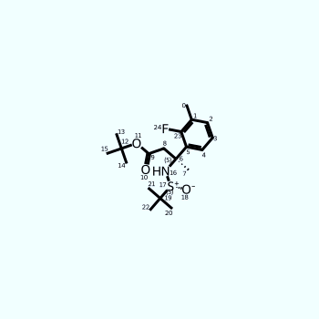 Cc1cccc([C@](C)(CC(=O)OC(C)(C)C)N[S@+]([O-])C(C)(C)C)c1F